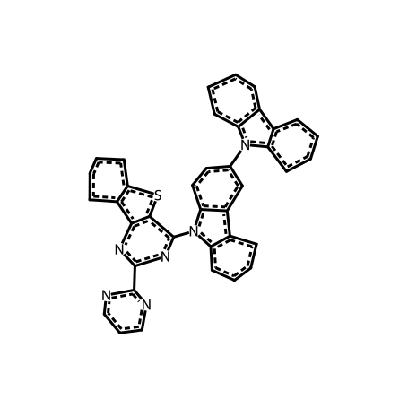 c1cnc(-c2nc(-n3c4ccccc4c4cc(-n5c6ccccc6c6ccccc65)ccc43)c3sc4ccccc4c3n2)nc1